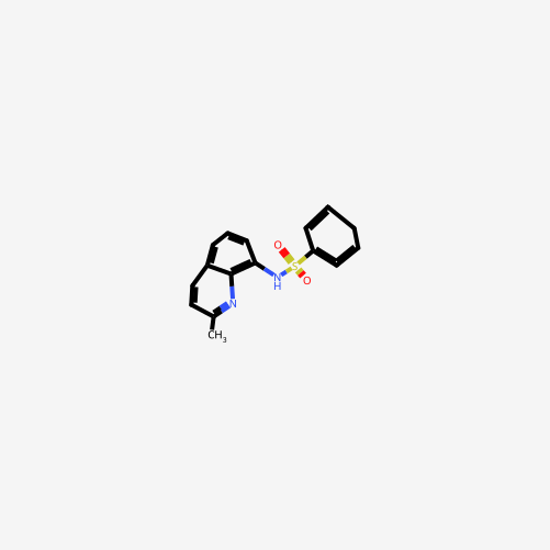 Cc1ccc2cccc(NS(=O)(=O)C3=C=CCC=C3)c2n1